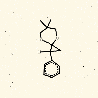 CC1(C)COC2(CC2(Cl)c2ccccc2)OC1